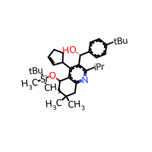 CC(C)c1nc2c(c(C3C=CCC3)c1[C@H](O)c1ccc(C(C)(C)C)cc1)C(O[Si](C)(C)C(C)(C)C)CC(C)(C)C2